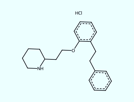 Cl.c1ccc(CCc2ccccc2OCCC2CCCCN2)cc1